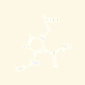 CCOC(=O)Cn1cnc(NC=O)c1C(=O)NC